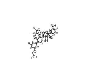 CC(C)COc1cc(F)cc(-c2ccc(C(=O)NS(=O)(=O)c3cccc(N)n3)c(N3CCC(C)C3(C)C)c2F)c1